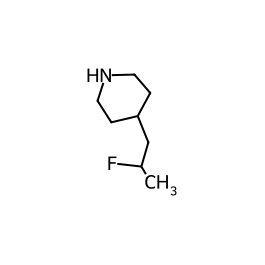 CC(F)CC1CCNCC1